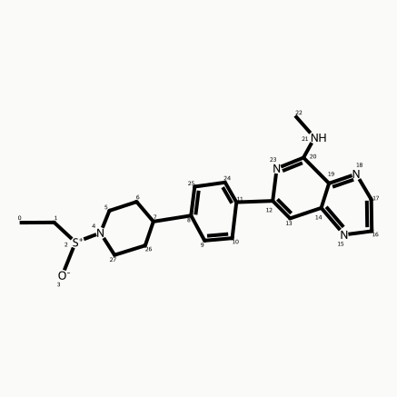 CC[S+]([O-])N1CCC(c2ccc(-c3cc4nccnc4c(NC)n3)cc2)CC1